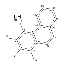 Cc1c(C)c(C)c2c(ccc3ccccc32)c1C.[LiH]